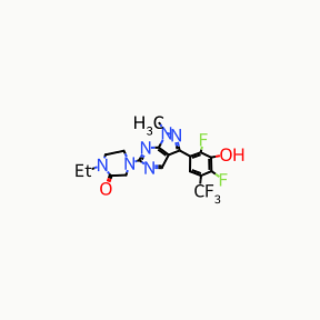 CCN1CCN(c2ncc3c(-c4cc(C(F)(F)F)c(F)c(O)c4F)nn(C)c3n2)CC1=O